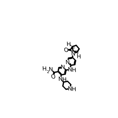 NC(=O)c1cnc(Nc2ccc(N3C(=O)[C@H]4CC[C@@H]3C4)cn2)cc1NC1CCNCC1